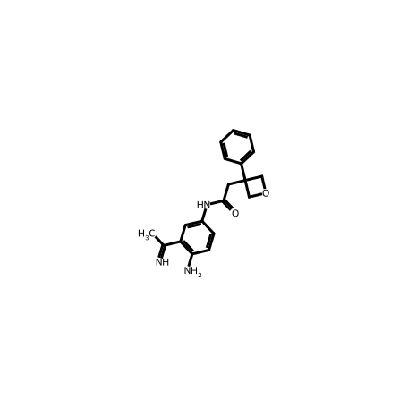 CC(=N)c1cc(NC(=O)CC2(c3ccccc3)COC2)ccc1N